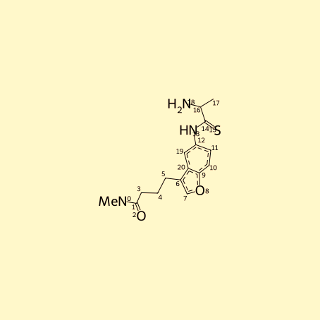 CNC(=O)CCCc1coc2ccc(NC(=S)C(C)N)cc12